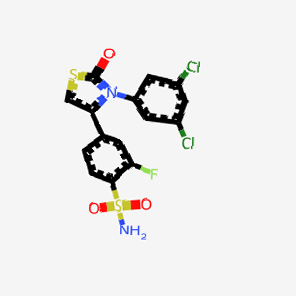 NS(=O)(=O)c1ccc(-c2csc(=O)n2-c2cc(Cl)cc(Cl)c2)cc1F